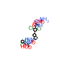 NC(=O)NC[C@H](NC(=O)c1c(Cl)cc(-c2ccc3c(c2)CCC[C@@H]3NC(=O)NC[C@H](NC(=O)c2c(Cl)cccc2Cl)C(=O)O)cc1Cl)C(=O)O